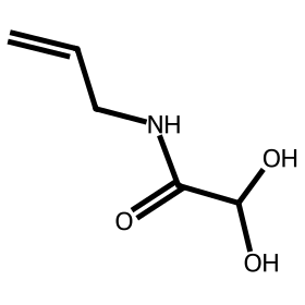 C=CCNC(=O)C(O)O